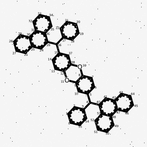 c1ccc(C(c2ccc3c(c2)Oc2ccc(C(c4ccccc4)c4cc5ccccc5c5ccccc45)cc2O3)c2cc3ccccc3c3ccccc23)cc1